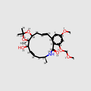 COCOc1cc(OC)cc2c1C(=O)N[C@@H](C)C/C=C\C(O)[C@H]1OC(C)(C)OC1C/C=C/2